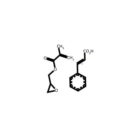 C=C(C)C(=O)OCC1CO1.O=C(O)/C=C/c1ccccc1